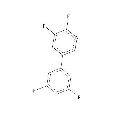 Fc1cc(F)cc(-c2cnc(F)c(F)c2)c1